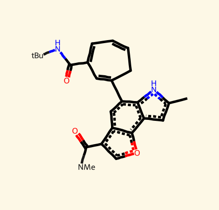 CNC(=O)c1coc2c1cc(C1=CC(C(=O)NC(C)(C)C)=CC=CC1)c1[nH]c(C)cc12